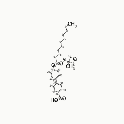 CCCCCCCCCCC(OCC1(C)COC1)Oc1ccc(-c2ccc(C(=O)O)cc2)cc1